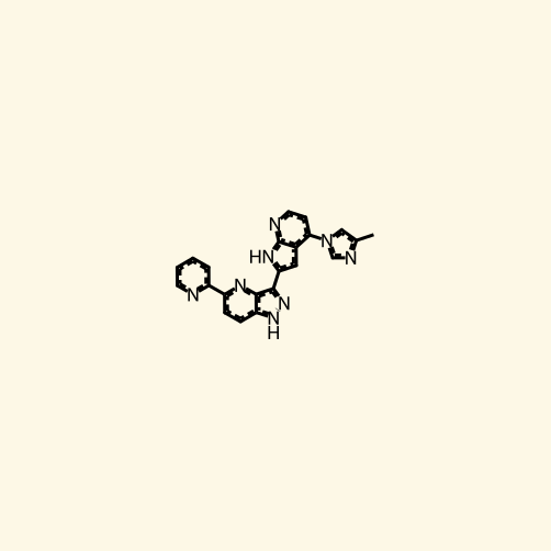 Cc1cn(-c2ccnc3[nH]c(-c4n[nH]c5ccc(-c6ccccn6)nc45)cc23)cn1